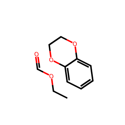 CCOC=O.c1ccc2c(c1)OCCO2